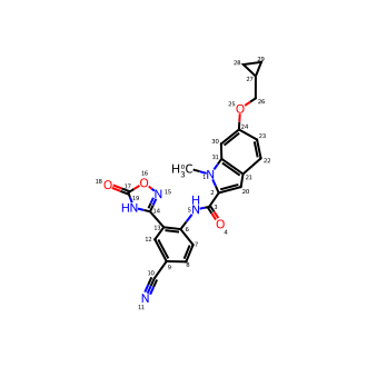 Cn1c(C(=O)Nc2ccc(C#N)cc2-c2noc(=O)[nH]2)cc2ccc(OCC3CC3)cc21